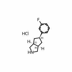 Cl.Fc1cccc([C@H]2C[C@H]3CNC[C@H]3C2)c1